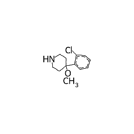 COC1(c2ccccc2Cl)CCNCC1